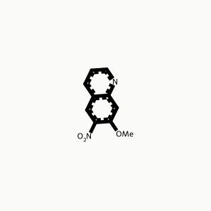 COc1cc2ncccc2cc1[N+](=O)[O-]